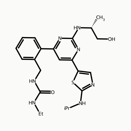 CCNC(=O)NCc1ccccc1-c1cc(-c2cnc(NC(C)C)s2)nc(N[C@H](C)CO)n1